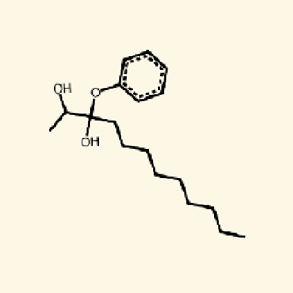 CCCCCCCCCC(O)(Oc1ccccc1)C(C)O